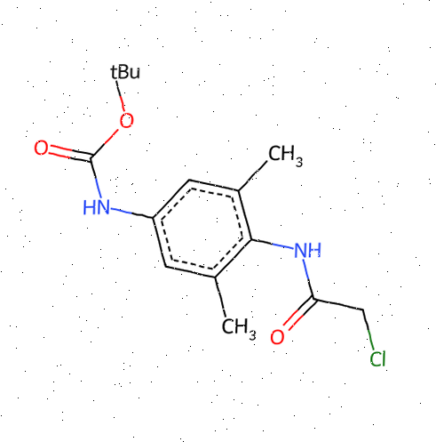 Cc1cc(NC(=O)OC(C)(C)C)cc(C)c1NC(=O)CCl